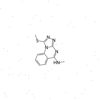 CNc1nc2nnc(SC)n2c2ccccc12